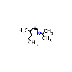 CCCC(C)/C=C\N=C(C)C